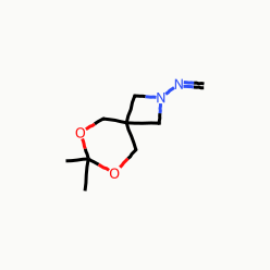 C=NN1CC2(COC(C)(C)OC2)C1